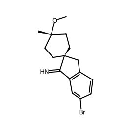 CO[C@]1(C)CC[C@@]2(CC1)Cc1ccc(Br)cc1C2=N